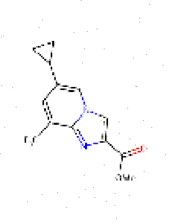 COC(=O)c1cn2cc(C3CC3)cc(C(F)(F)F)c2n1